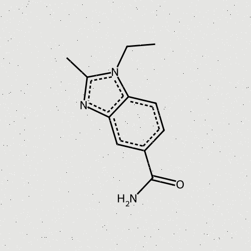 CCn1c(C)nc2cc(C(N)=O)ccc21